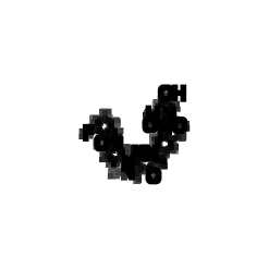 Cc1cc2cc(C(=O)c3cnn(-c4cnc(Oc5c(F)cccc5F)cc4C)c3N)[nH]c2cc1N1C(=O)[C@@H]2C[C@@H](O)CN2C1=O